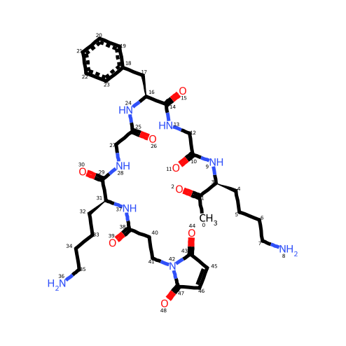 CC(=O)[C@H](CCCCN)NC(=O)CNC(=O)[C@H](Cc1ccccc1)NC(=O)CNC(=O)[C@H](CCCCN)NC(=O)CCN1C(=O)C=CC1=O